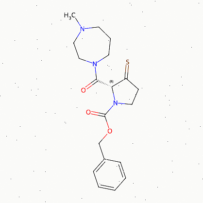 CN1CCCN(C(=O)[C@@H]2C(=S)CCN2C(=O)OCc2ccccc2)CC1